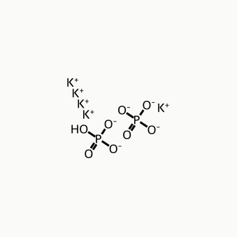 O=P([O-])([O-])O.O=P([O-])([O-])[O-].[K+].[K+].[K+].[K+].[K+]